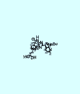 CCCCn1nc(-c2nc(N)c3c(n2)NC(=O)C3(C)c2ccc(CCC(O)O)cc2)c2ccc(C)nc21